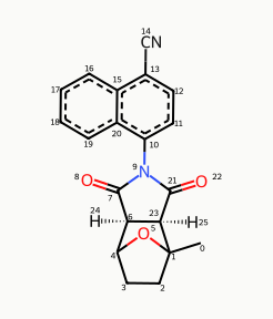 CC12CCC(O1)[C@H]1C(=O)N(c3ccc(C#N)c4ccccc34)C(=O)[C@H]12